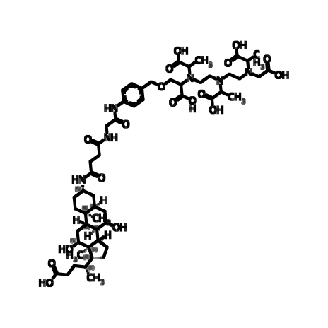 CC(C(=O)O)N(CCN(CC(=O)O)C(C)C(=O)O)CCN(C(C)C(=O)O)C(COCc1ccc(NC(=O)CNC(=O)CCC(=O)N[C@H]2CC[C@@]3(C)[C@@H](C2)C[C@@H](O)[C@@H]2[C@@H]3C[C@H](O)[C@]3(C)[C@@H]([C@H](C)CCC(=O)O)CC[C@@H]23)cc1)C(=O)O